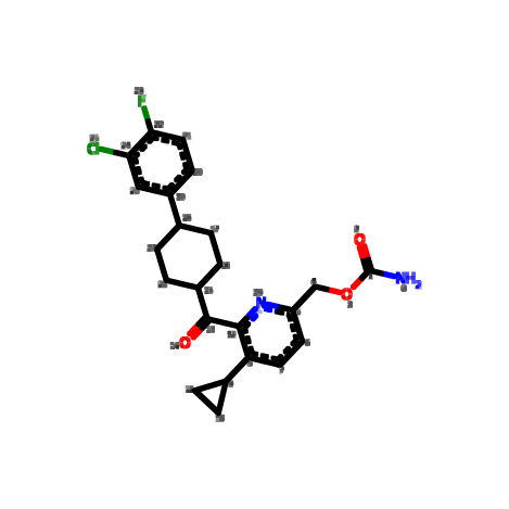 NC(=O)OCc1ccc(C2CC2)c(C(=O)C2CCC(c3ccc(F)c(Cl)c3)CC2)n1